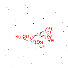 OCC(O)COCC(COCC(O)CO)OCCCOC(COCC(O)CO)COCC(O)CO